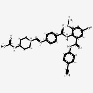 C#Cc1ccc(NC(=O)c2cc(Cl)cc(OC)c2NC(=O)c2ccc(N=CN3CCC(OC(=O)O)CC3)cc2)cc1